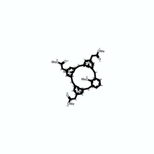 COC(=O)Cc1cc2c(OC)c(c1)Cc1cc(CC(=O)OC)cc(c1OC)Cc1cc(CC(=O)OC)cc(c1OC)Cc1cccc(c1OC)C2